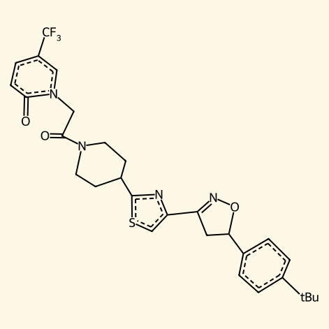 CC(C)(C)c1ccc(C2CC(c3csc(C4CCN(C(=O)Cn5cc(C(F)(F)F)ccc5=O)CC4)n3)=NO2)cc1